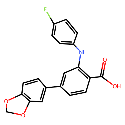 O=C(O)c1ccc(-c2ccc3c(c2)OCO3)cc1Nc1ccc(F)cc1